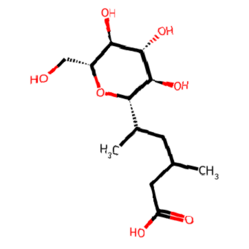 CC(CC(=O)O)CC(C)[C@@H]1O[C@H](CO)[C@@H](O)[C@H](O)[C@H]1O